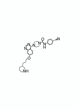 N#Cc1ccc(NC(=O)N2CCN(c3ncnc4cc(OCCCC5CCCNC5)ccc34)CC2)cc1